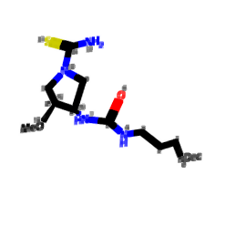 CCCCCCCCCCCCCNC(=O)N[C@H]1CN(C(N)=S)C[C@@H]1OC